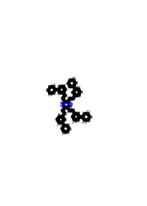 C(=C\c1nc(/C=C/c2cccc(C3CCCCC3)c2)c(/C=C/c2cccc(C3CCCCC3)c2)nc1/C=C/c1cccc(C2CCCCC2)c1)/c1cccc(C2CCCCC2)c1